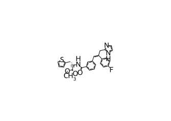 COC(=O)[C@H](Cc1cccs1)NC(=O)c1cccc(C=C(Cc2ncc[nH]2)c2ccc(F)cc2)c1